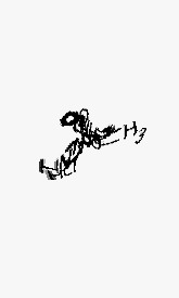 CS(=O)(=O)Nc1ccc(N2CCCNCC2)cc1NS(=O)(=O)c1ccccc1.Cl